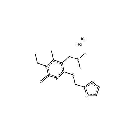 CCn1c(C)c(CN(C)C)c(SCc2ccco2)nc1=O.Cl.Cl